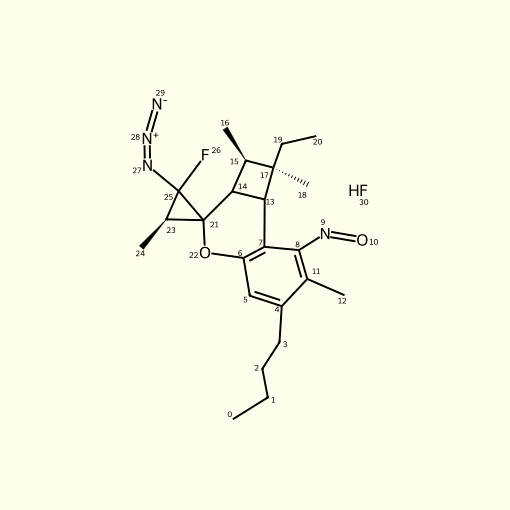 CCCCc1cc2c(c(N=O)c1C)C1C([C@@H](C)[C@@]1(C)CC)C1(O2)[C@@H](C)C1(F)N=[N+]=[N-].F